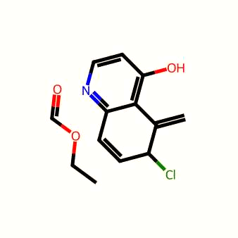 C=C1c2c(O)ccnc2C=CC1Cl.CCOC=O